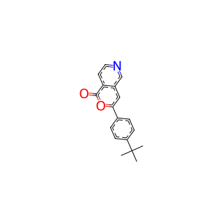 CC(C)(C)c1ccc(-c2cc3cnccc3c(=O)o2)cc1